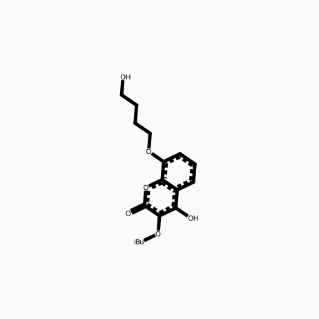 CCC(C)Oc1c(O)c2cccc(OCCCCO)c2oc1=O